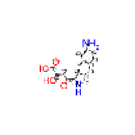 Nc1ccc(Cc2c[nH]c(C(=O)/C=C(\O)C(=O)O)c2)cc1